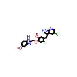 COc1ccc2[nH]c(COc3cc(F)c(Cc4c[nH]c5ncc(Cl)cc45)cc3OC)nc2c1